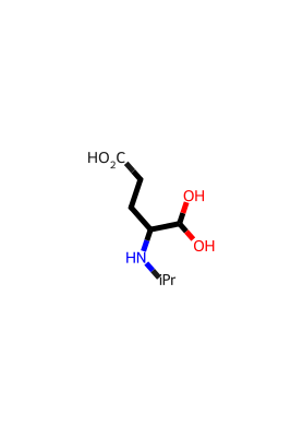 CC(C)NC(CCC(=O)O)C(O)O